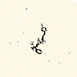 CC(C)[C@@](C#N)(CCCNCCCc1ccc(F)cc1)c1ccccc1